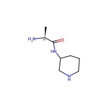 C[C@H](N)C(=O)NC1CCCNC1